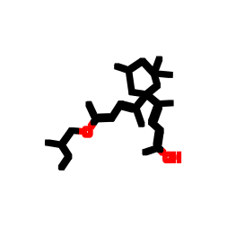 CCC(C)CO/C(C)=C/C=C(\C)C1(/C(C)=C/C=C(\C)O)CC(C)CC(C)(C)C1